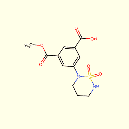 COC(=O)c1cc(C(=O)O)cc(N2CCCNS2(=O)=O)c1